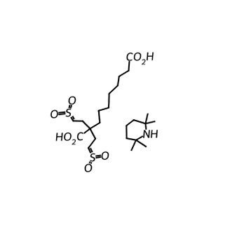 CC1(C)CCCC(C)(C)N1.O=C(O)CCCCCCCC(CC=S(=O)=O)(CC=S(=O)=O)C(=O)O